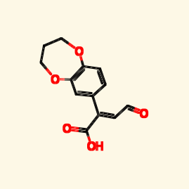 O=C/C=C(/C(=O)O)c1ccc2c(c1)OCCCO2